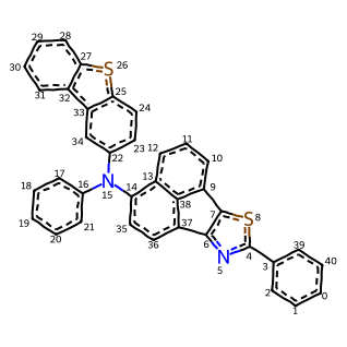 c1ccc(-c2nc3c(s2)-c2cccc4c(N(c5ccccc5)c5ccc6sc7ccccc7c6c5)ccc-3c24)cc1